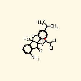 CC(C)c1ccc2c(c1)OC1(O)c3cccc(N)c3C(=O)C21NC(=O)C(Cl)Cl